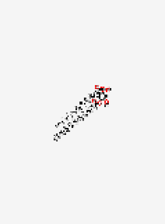 CCCCCCCCCCCCCCCCCCCC(=O)O.CCCCCCCCCCCCCCCCCCCC(=O)Oc1ccc(C=O)cc1OC